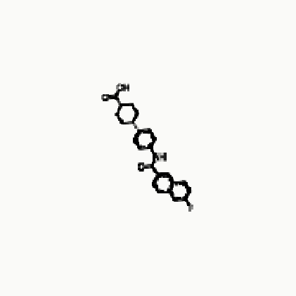 O=C(Nc1ccc([C@H]2CC[C@H](C(=O)O)CC2)cc1)c1ccc2cc(F)ccc2c1